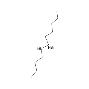 Br.CCCCCCNCCCC